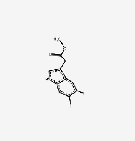 COC(=O)Cc1c[nH]c2cc(F)c(F)cc12